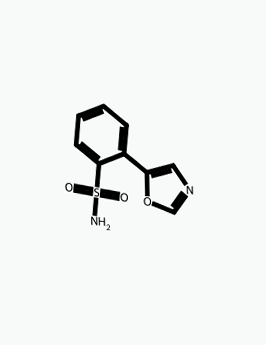 NS(=O)(=O)c1ccccc1-c1cnco1